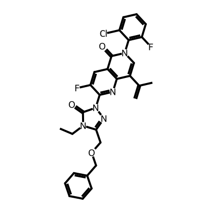 C=C(C)c1cn(-c2c(F)cccc2Cl)c(=O)c2cc(F)c(-n3nc(COCc4ccccc4)n(CC)c3=O)nc12